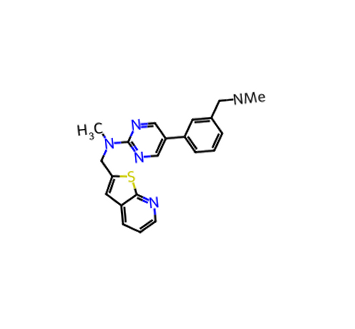 CNCc1cccc(-c2cnc(N(C)Cc3cc4cccnc4s3)nc2)c1